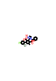 Cc1cc(-c2ccc(F)cc2Cl)c(C(=O)O)c(-c2nccn2Cc2ccccc2)c1C(=O)O